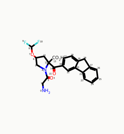 NCC(=O)N1CC(OC(F)F)CC1(C(=O)O)C(=O)c1ccc2c(c1)-c1ccccc1C2